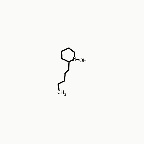 CCCCCC1CCCCN1O